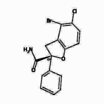 NC(=O)[C@@]1(c2ccccc2)Cc2c(ccc(Cl)c2Br)O1